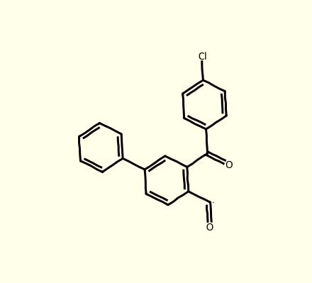 O=[C]c1ccc(-c2ccccc2)cc1C(=O)c1ccc(Cl)cc1